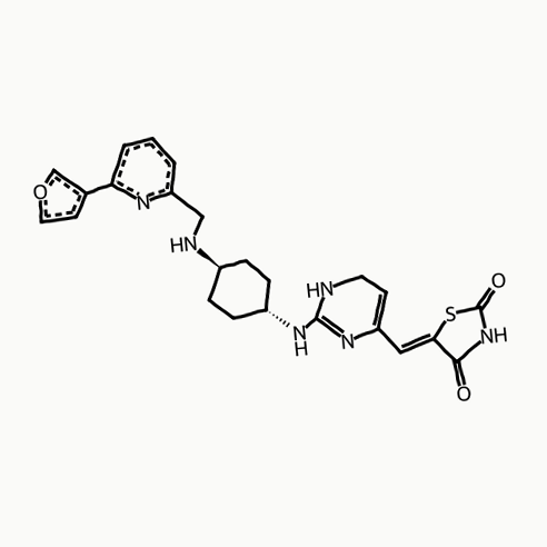 O=C1NC(=O)/C(=C/C2=CCNC(N[C@H]3CC[C@H](NCc4cccc(-c5ccoc5)n4)CC3)=N2)S1